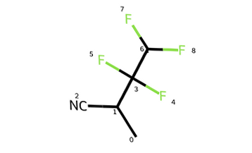 CC(C#N)C(F)(F)[C](F)F